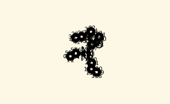 c1ccc2cc(-c3nc(-c4ccc5c(ccc6ccccc65)c4)nc(-c4cc(-n5c6ccccc6c6cc7ccccc7cc65)c5c(c4)oc4ccccc45)n3)ccc2c1